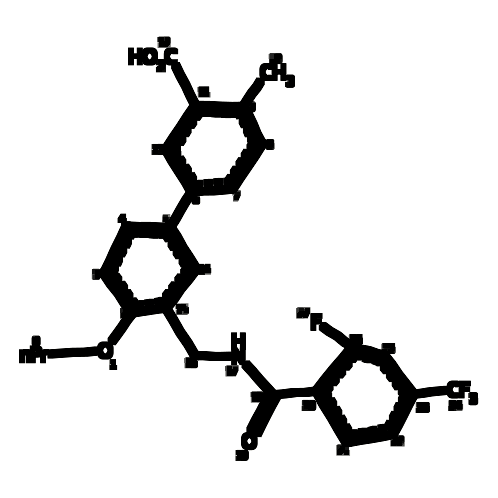 CCCOc1ccc(-c2ccc(C)c(C(=O)O)c2)cc1CNC(=O)c1ccc(C(F)(F)F)cc1F